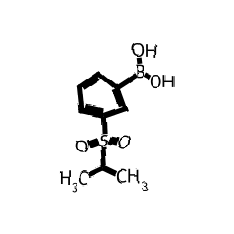 CC(C)S(=O)(=O)c1cccc(B(O)O)c1